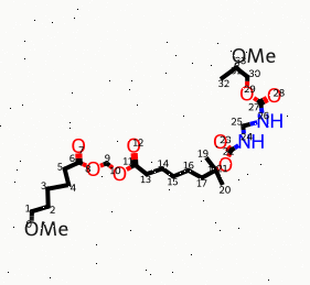 COCCCCCC(=O)OCOC(=O)CCCCCC(C)(C)OC(=O)NCNC(=O)OCC(C)OC